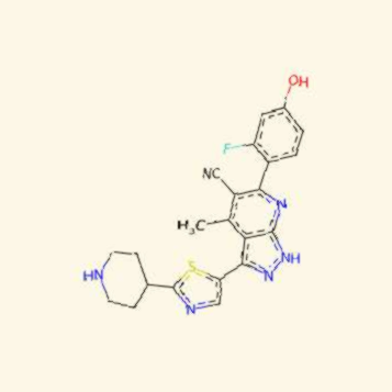 Cc1c(C#N)c(-c2ccc(O)cc2F)nc2[nH]nc(-c3cnc(C4CCNCC4)s3)c12